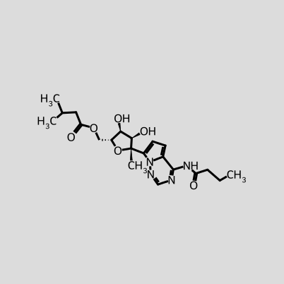 CCCC(=O)Nc1ncnn2c([C@]3(C)O[C@H](COC(=O)CC(C)C)[C@@H](O)[C@H]3O)ccc12